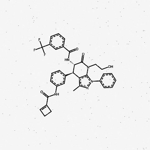 Cc1nn(-c2ccccc2)c2c1[C@@H](c1cccc(NC(=O)C3=CCC3)c1)[C@H](NC(=O)c1cccc(C(F)(F)F)c1)C(=O)N2CCO